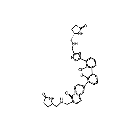 O=C1CC[C@H](CNCc2cnc3cc(-c4cccc(-c5cccc(-c6cnc(CNC[C@@H]7CCC(=O)N7)s6)c5Cl)c4Cl)ccn3c2=O)N1